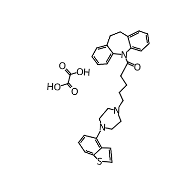 O=C(CCCCN1CCN(c2cccc3sccc23)CC1)N1c2ccccc2CCc2ccccc21.O=C(O)C(=O)O